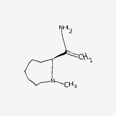 C=C(N)[C@@H]1CCCN1C